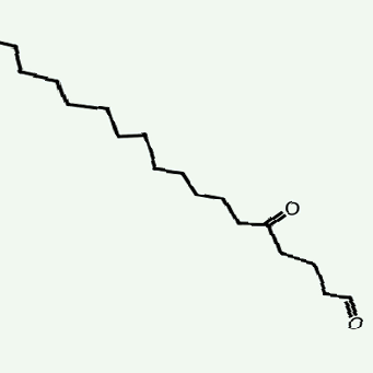 CCCCCCCCCCCCCC(=O)CCCC=O